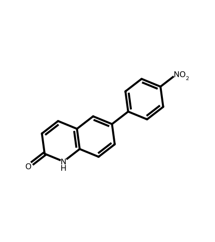 O=c1ccc2cc(-c3ccc([N+](=O)[O-])cc3)ccc2[nH]1